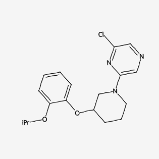 CC(C)Oc1ccccc1OC1CCCN(c2cncc(Cl)n2)C1